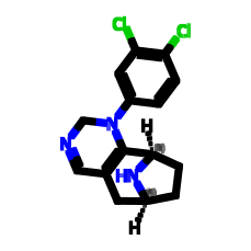 Clc1ccc(N2CN=CC3=C2[C@H]2CC[C@@H](C3)N2)cc1Cl